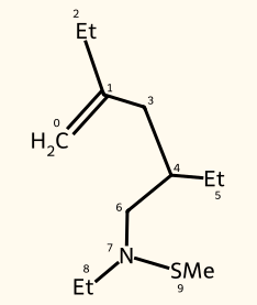 C=C(CC)CC(CC)CN(CC)SC